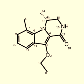 CCOc1c2n(c3c(C)cccc13)[C@H](C)CNC2=O